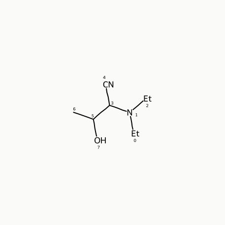 CCN(CC)C(C#N)C(C)O